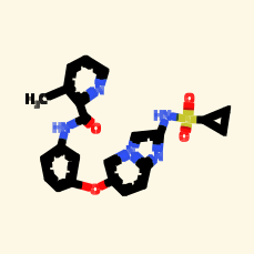 Cc1cccnc1C(=O)Nc1cccc(Oc2ccc3nc(NS(=O)(=O)C4CC4)cn3c2)c1